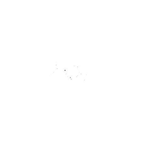 CC(C)(C)c1ccc(C(Br)Br)cc1